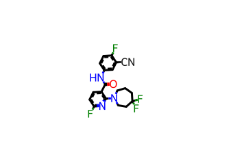 N#Cc1cc(NC(=O)c2ccc(F)nc2N2CCCC(F)(F)CC2)ccc1F